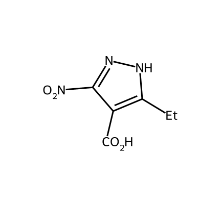 CCc1[nH]nc([N+](=O)[O-])c1C(=O)O